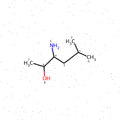 CC(C)CC(N)C(C)O